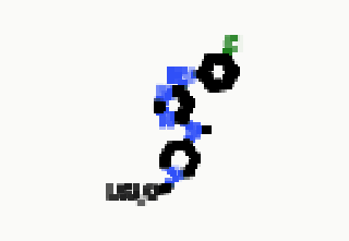 CCOC(=O)CN1CCC(N(C)c2cc(Nc3cccc(Cl)c3)ncn2)CC1